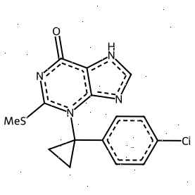 CSc1nc(=O)c2[nH]cnc2n1C1(c2ccc(Cl)cc2)CC1